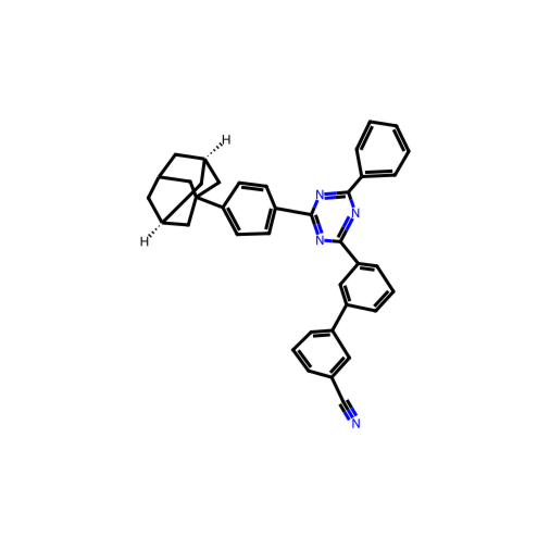 N#Cc1cccc(-c2cccc(-c3nc(-c4ccccc4)nc(-c4ccc(C56CC7C[C@H](C5)C[C@@H](C7)C6)cc4)n3)c2)c1